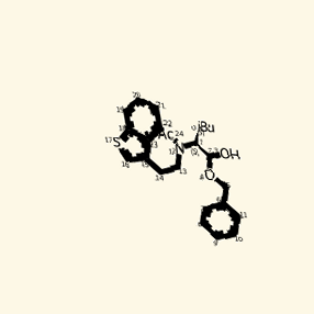 CC[C@H](C)[C@@H](C(O)OCc1ccccc1)N(CCc1csc2ccccc12)C(C)=O